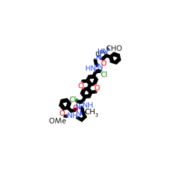 CCCN(Cc1nc(Cl)c(-c2cc3c4c(c2)OCc2cc(-c5[nH]c([C@]6(C)CCCN6C(=O)[C@H](NC(=O)OC)c6ccccc6)nc5Cl)cc(c2-4)OC3)[nH]1)C(=O)[C@H](NC=O)c1ccccc1